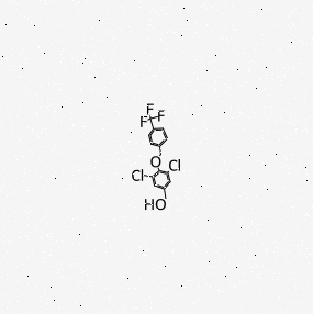 OCc1cc(Cl)c(OCc2ccc(C(F)(F)F)cc2)c(Cl)c1